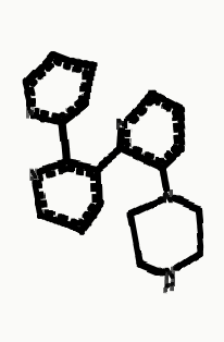 c1ccc(-c2ncccc2-c2ncccc2N2CCNCC2)nc1